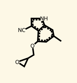 Cc1cc(OCC2CO2)c2c(C#N)c[nH]c2c1